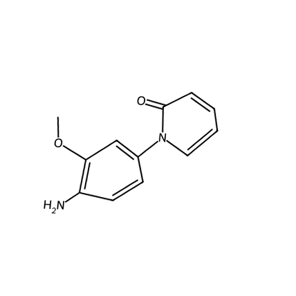 COc1cc(-n2ccccc2=O)ccc1N